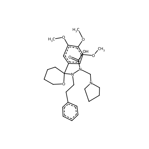 COc1cc(C2(N(CCc3ccccc3)N(CN3CCCC3)C(=O)O)CCCCO2)cc(OC)c1OC